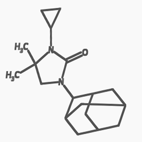 CC1(C)CN(C2C3CC4CC(C3)CC2C4)C(=O)N1C1CC1